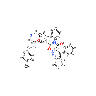 COC(=O)N(C(=O)[C@@H](N)C(c1ccccc1)c1ccccc1)c1ccccc1CC[C@@H]1CNC[C@@H](CCc2ccc(C#N)cc2)O1